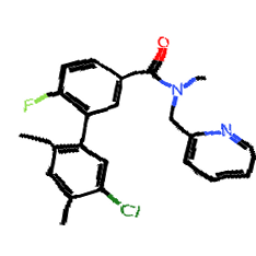 Cc1cc(C)c(-c2cc(C(=O)N(C)Cc3ccccn3)ccc2F)cc1Cl